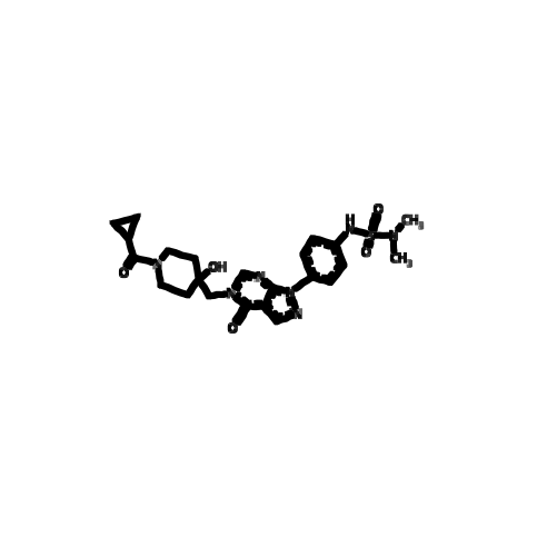 CN(C)S(=O)(=O)Nc1ccc(-n2ncc3c(=O)n(CC4(O)CCN(C(=O)C5CC5)CC4)cnc32)cc1